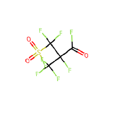 O=C(F)C(F)(C(F)(F)F)C(F)(F)S(=O)(=O)F